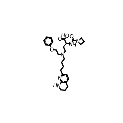 O=C(O)[C@H](CCN(CCCCc1ccc2c(n1)NCCC2)CCOc1ccccc1)NC(=O)N1CCC1